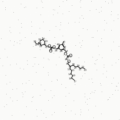 [CH2]c1cc(COC(=O)COCC(CCCCCC)CCCCCC)cc(COC(=O)OCC2CCCN(CC)C2)c1